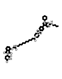 CCCCNc1ncc2c(-c3ccc(S(=O)(=O)N4CCN(C(=O)CCCCCCCCCCNC(=O)COc5cccc6c5C(=O)N(C5CCC(=O)NC5=O)C6=O)CC4)cc3)cn(C3CCCCC3)c2n1